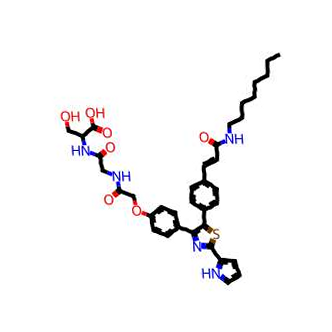 CCCCCCCCNC(=O)C=Cc1ccc(-c2sc(-c3ccc[nH]3)nc2-c2ccc(OCC(=O)NCC(=O)NC(CO)C(=O)O)cc2)cc1